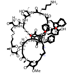 COc1cc2cc(c1Cl)N(C)C(=O)C[C@H](OC(=O)[C@H](C)N(C)C(=O)CCSSC[C@H](NC(=O)[C@@H]1CSSC[C@H](NC(=O)[C@@H](Cc3ccccc3)NCc3ccccc3)C(=O)N[C@@H](Cc3ccc(O)cc3)C(=O)N[C@H](Cc3c[nH]c4ccccc34)C(=O)N[C@@H](CCCCN)C(=O)N[C@@H]([C@@H](C)O)C(=O)N1)C(N)=O)[C@]1(C)O[C@H]1[C@H](C)[C@@H]1C[C@@](O)(NC(=O)O1)[C@H](OC)/C=C/C=C(\C)C2